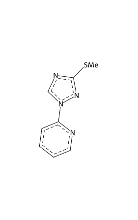 CSc1ncn(-c2ccccn2)n1